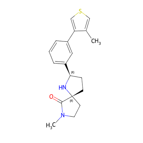 Cc1cscc1-c1cccc([C@H]2CC[C@]3(CCN(C)C3=O)N2)c1